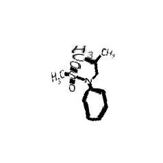 CC(C)CN(c1ccccc1)S(C)(=O)=O